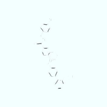 O=C(NCc1ccc([N+](=O)[O-])cc1)c1ccc2c(c1)OCCN2Cc1ccc(-c2ccccc2C(=O)O)cc1